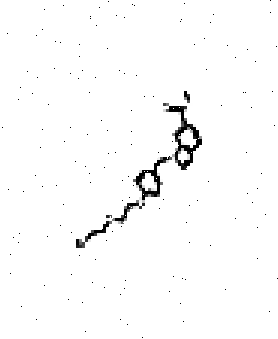 COC(=O)c1ccc2ccn(Cc3ccc(OCCOCCBr)cc3)c2c1